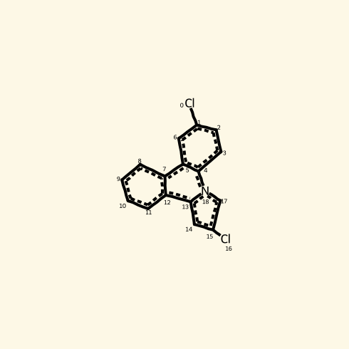 Clc1ccc2c(c1)c1ccccc1c1cc(Cl)cn21